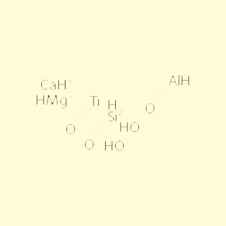 O=[SiH2].[CaH+].[MgH+].[OH-].[OH-].[O]=[AlH].[O]=[Ti]